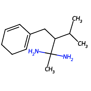 CC(C)C(CC1=CCCC=C1)C(C)(N)N